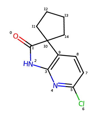 O=C1Nc2nc(Cl)ccc2C12CCCC2